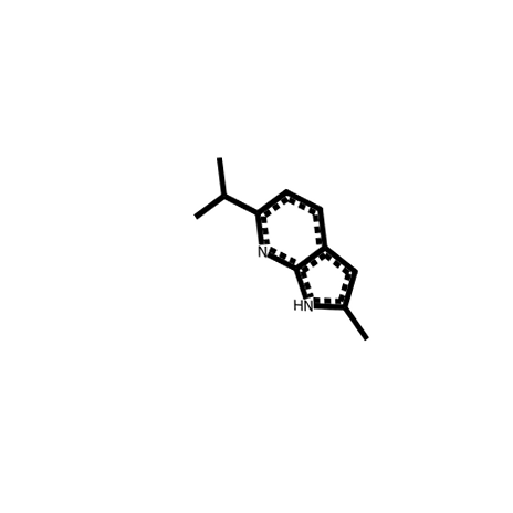 Cc1cc2ccc(C(C)C)nc2[nH]1